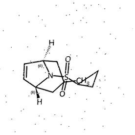 CC1C[C@@H]2C=C[C@@H](C1)N2S(=O)(=O)C1CC1